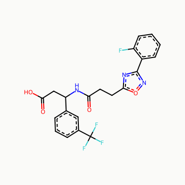 O=C(O)CC(NC(=O)CCc1nc(-c2ccccc2F)no1)c1cccc(C(F)(F)F)c1